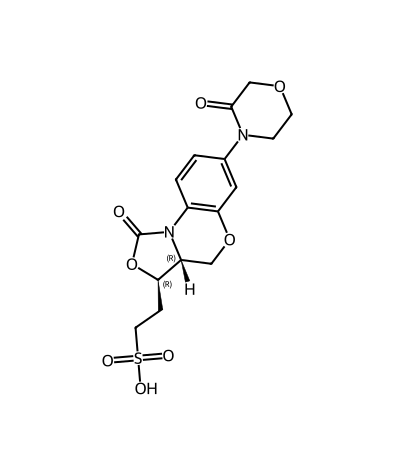 O=C1COCCN1c1ccc2c(c1)OC[C@@H]1[C@@H](CCS(=O)(=O)O)OC(=O)N21